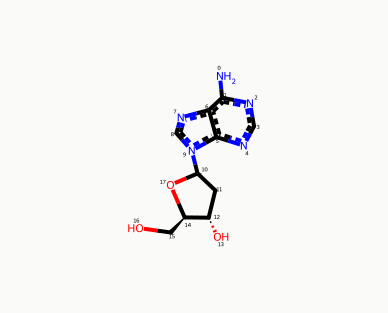 Nc1ncnc2c1ncn2[C]1C[C@H](O)[C@@H](CO)O1